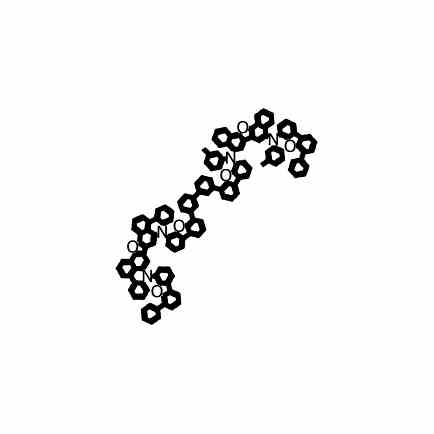 Cc1cccc(N(c2cc3c4cc(N(c5cccc(C)c5)c5cccc6c5oc5c(-c7cccc(-c8cccc(-c9cccc%10c9oc9c(-n%11c%12ccccc%12c%12cccc%13c%14oc%15c(cc%16c%17c(cccc%15%17)c%15ccccc%15n%16-c%15cccc%16c%15oc%15c(-c%17ccccc%17)cccc%15%16)c%14cc%11c%12%13)cccc9%10)c8)c7)cccc56)c5ccccc5c4oc3c3ccccc23)c2cccc3c2oc2c(-c4ccccc4)cccc23)c1